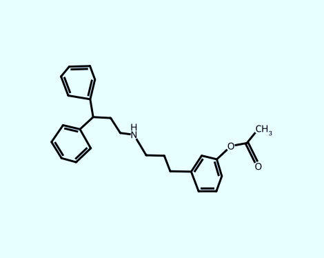 CC(=O)Oc1cccc(CCCNCCC(c2ccccc2)c2ccccc2)c1